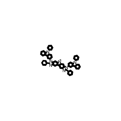 Cn1c2cc3c(cc2c2cc4nc(-c5ccccc5)n(-c5ccc6c(c5)c5ccccc5n6-c5ccccc5)c4cc21)nc(C1=CCCC=C1)n3-c1ccc2c(c1)c1ccccc1n2-c1ccccc1